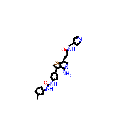 Cc1cccc(NC(=O)Nc2ccc(-c3csc4c(C=CC(=O)NCc5ccncc5)cnc(N)c34)cc2)c1